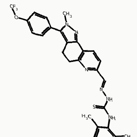 Cc1cccc(C)c1NC(=S)NN=Cc1ccc2c(n1)CCc1c-2nn(C)c1-c1ccc(OC(F)(F)F)cc1